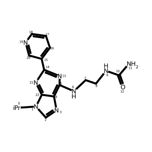 CC(C)n1cnc2c(NCCNC(N)=O)nc(-c3cccnc3)nc21